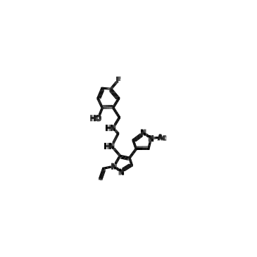 C=Cn1ncc(-c2cnn(C(C)=O)c2)c1NCNCc1cc(F)ccc1O